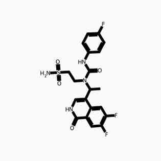 CC(c1c[nH]c(=O)c2cc(F)c(F)cc12)N(CCS(N)(=O)=O)C(=O)Nc1ccc(F)cc1